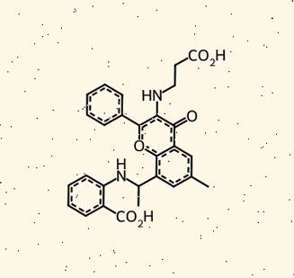 Cc1cc(C(C)Nc2ccccc2C(=O)O)c2oc(-c3ccccc3)c(NCCC(=O)O)c(=O)c2c1